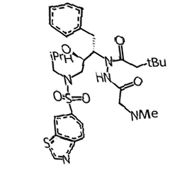 CNCC(=O)NN(C(=O)CC(C)(C)C)[C@@H](Cc1ccccc1)[C@H](O)CN(CC(C)C)S(=O)(=O)c1ccc2ncsc2c1